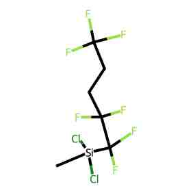 C[Si](Cl)(Cl)C(F)(F)C(F)(F)CCC(F)(F)F